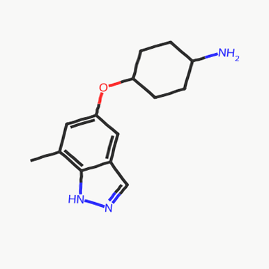 Cc1cc(OC2CCC(N)CC2)cc2cn[nH]c12